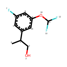 C[C](CO)c1cc(F)cc(OC(F)F)c1